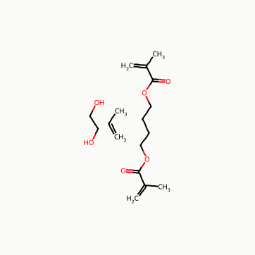 C=C(C)C(=O)OCCCCOC(=O)C(=C)C.C=CC.OCCO